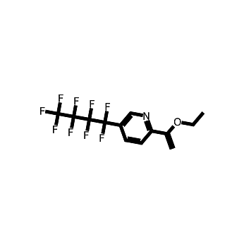 C=C(OCC)c1ccc(C(F)(F)C(F)(F)C(F)(F)C(F)(F)F)cn1